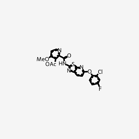 COc1ccnc(C(=O)Nc2nc3ccc(Oc4ccc(F)cc4Cl)nc3s2)c1OC(C)=O